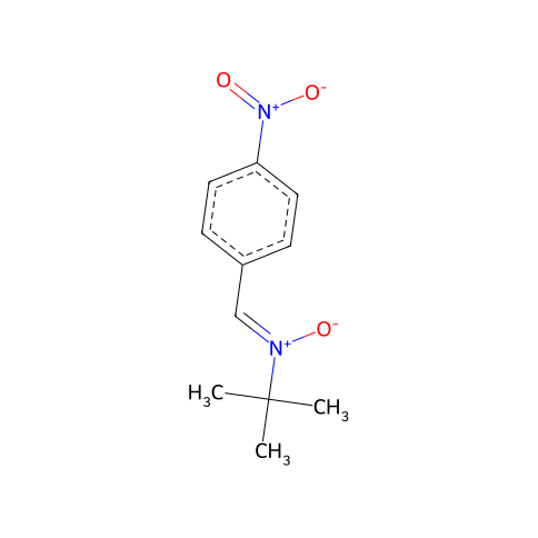 CC(C)(C)/[N+]([O-])=C/c1ccc([N+](=O)[O-])cc1